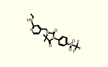 CCNc1cc(CN2C(=O)N(c3ccc(S(=O)(=O)C(F)(F)F)cc3)C(=O)C2(C)C)ccn1